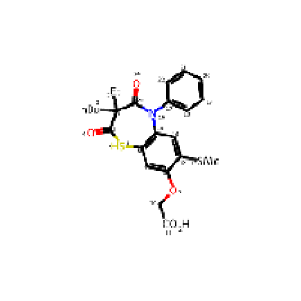 CCCCC1(CC)C(=O)[SH]c2cc(OCC(=O)O)c(SC)cc2N(c2ccccc2)C1=O